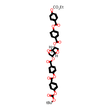 CCOC(=O)Oc1ccc(C(=O)Oc2ccc(C(=O)O[C@@H]3CO[C@@H]4[C@H]3OC[C@H]4OC(=O)c3ccc(OC(=O)c4ccc(OC(=O)OC(C)(C)C)cc4)cc3)cc2)cc1